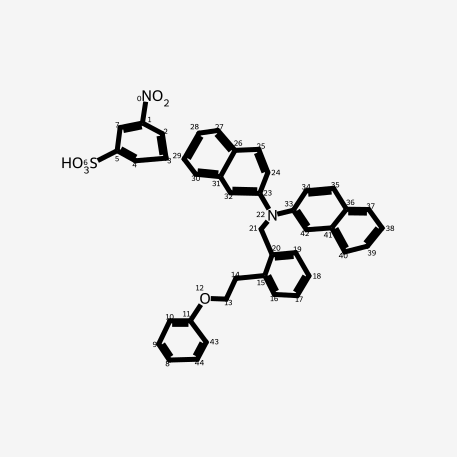 O=[N+]([O-])c1cccc(S(=O)(=O)O)c1.c1ccc(OCCc2ccccc2CN(c2ccc3ccccc3c2)c2ccc3ccccc3c2)cc1